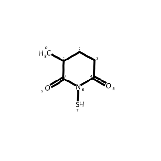 CC1CCC(=O)N(S)C1=O